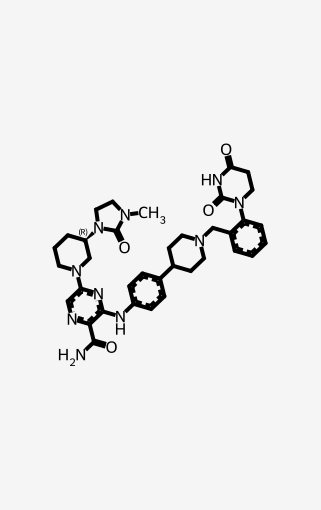 CN1CCN([C@@H]2CCCN(c3cnc(C(N)=O)c(Nc4ccc(C5CCN(Cc6ccccc6N6CCC(=O)NC6=O)CC5)cc4)n3)C2)C1=O